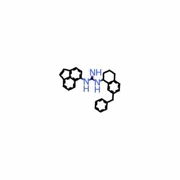 N=C(Nc1ccc2c3c(cccc13)C=C2)NC1CCCc2ccc(Cc3ccccc3)cc21